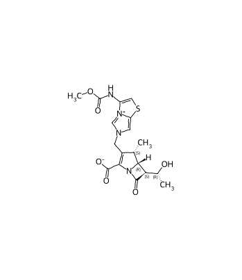 COC(=O)Nc1csc2cn(CC3=C(C(=O)[O-])N4C(=O)[C@H]([C@@H](C)O)[C@H]4[C@H]3C)c[n+]12